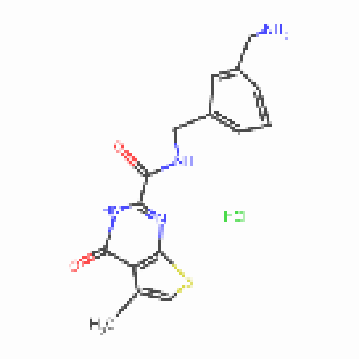 Cc1csc2nc(C(=O)NCc3cccc(CN)c3)[nH]c(=O)c12.Cl